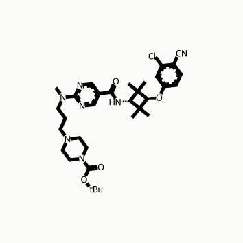 CN(CCCN1CCN(C(=O)OC(C)(C)C)CC1)c1ncc(C(=O)N[C@H]2C(C)(C)[C@H](Oc3ccc(C#N)c(Cl)c3)C2(C)C)cn1